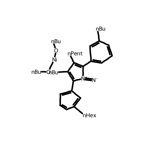 CCCCCCc1cccc(C2=C(CCCC)C(CCCCC)=C(c3cccc(CCCC)c3)[N+]2=[N-])c1.CCCC[O][Ni][O]CCCC